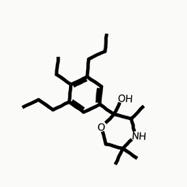 CCCc1cc(C2(O)OCC(C)(C)NC2C)cc(CCC)c1CC